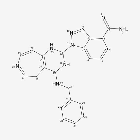 NC(=O)c1cccc2c1cnn2C1NC2=C(CC=NC=C2)C(NCc2ccccc2)N1